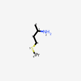 CC(N)[CH]CSC(C)C